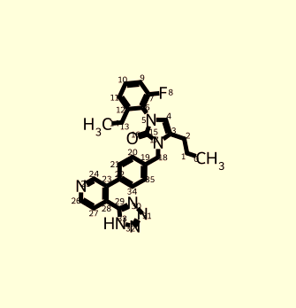 CCCc1cn(-c2c(F)cccc2CC)c(=O)n1Cc1ccc(-c2cnccc2-c2nnn[nH]2)cc1